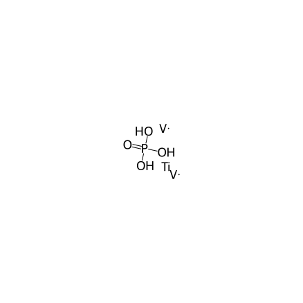 O=P(O)(O)O.[Ti].[V].[V]